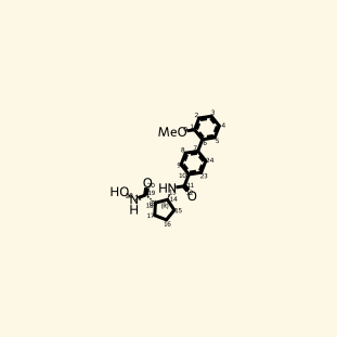 COc1ccccc1-c1ccc(C(=O)N[C@@H]2CCC[C@@H]2C(=O)NO)cc1